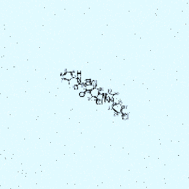 O=C(Nc1ccccc1)N(Cl)C(=O)c1cc(Cl)c(-n2ccc(-c3ccc(Cl)cc3)n2)cc1Cl